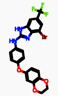 FC(F)(F)c1cc(Br)c2nc(Nc3ccc(Oc4ccc5c(c4)OCCO5)cc3)[nH]c2c1